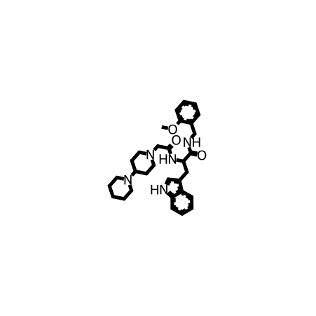 COc1ccccc1CNC(=O)C(Cc1c[nH]c2ccccc12)NC(=O)CN1CCC(N2CCCCC2)CC1